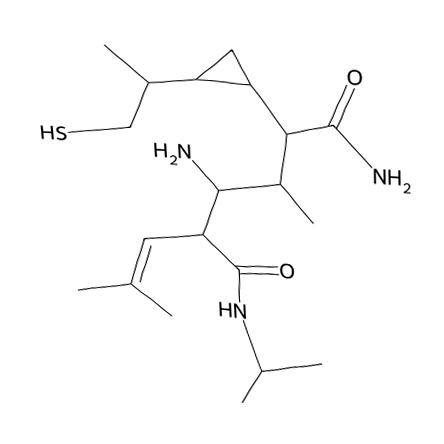 CC(C)=CC(C(=O)NC(C)C)C(N)C(C)C(C(N)=O)C1CC1C(C)CS